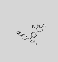 CCC1CCC(C(C)c2ccc(-c3ccc(Cl)nc3F)cc2)CC1